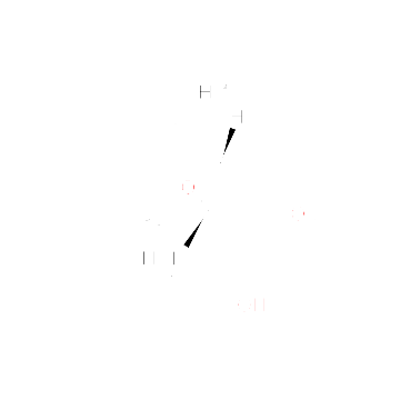 O[C@H]1OC[C@@H]2[C@H]1[C@H]1C=C[C@@H]2O1